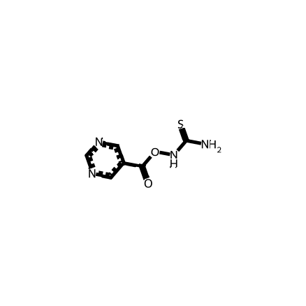 NC(=S)NOC(=O)c1cncnc1